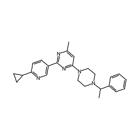 Cc1cc(N2CCN(C(C)c3ccccc3)CC2)nc(-c2ccc(C3CC3)nc2)n1